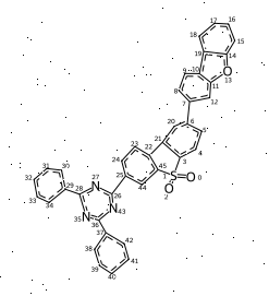 O=S1(=O)c2ccc(-c3ccc4c(c3)oc3ccccc34)cc2-c2ccc(-c3nc(-c4ccccc4)nc(-c4ccccc4)n3)cc21